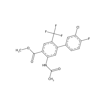 COC(=O)c1cc(C(F)(F)F)c(-c2ccc(F)c(Cl)c2)cc1NC(C)=O